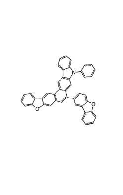 c1ccc(-n2c3ccccc3c3cc4c(cc32)c(-c2ccc3oc5ccccc5c3c2)cc2cc3oc5ccccc5c3cc24)cc1